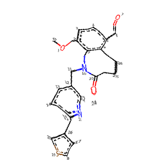 COc1ccc(C=O)c2c1N(Cc1ccc(-c3ccsc3)nc1)C(=O)CC2